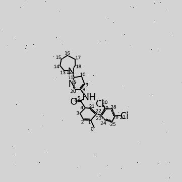 CC1=CCC(C(=O)NC2=CCC(N3CCCCCC3)N=C2)C=C1c1ccc(Cl)cc1Cl